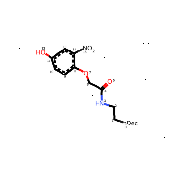 CCCCCCCCCCCCNC(=O)COc1ccc(O)cc1[N+](=O)[O-]